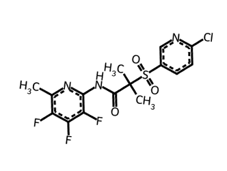 Cc1nc(NC(=O)C(C)(C)S(=O)(=O)c2ccc(Cl)nc2)c(F)c(F)c1F